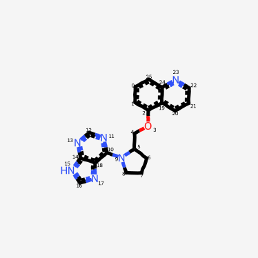 c1cc(OCC2CCCN2c2ncnc3[nH]cnc23)c2cccnc2c1